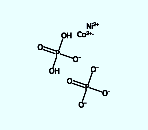 O=P([O-])(O)O.O=P([O-])([O-])[O-].[Co+2].[Ni+2]